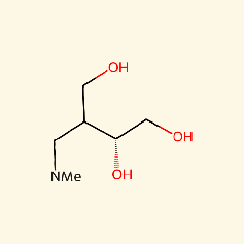 CNCC(CO)[C@@H](O)CO